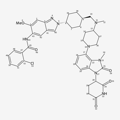 COc1cc2nn([C@H]3CC[C@H](CN(C)C4CCN(c5cccc6c5n(C)c(=O)n6C5CCC(=O)NC5=O)CC4)CC3)cc2cc1NC(=O)c1ccccc1Cl